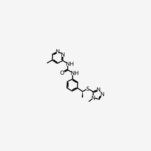 Cc1cnnc(NC(=O)Nc2cccc([C@H](C)Sc3nncn3C)c2)c1